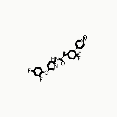 O=C(Nc1ccc(Oc2ccc(F)cc2F)cn1)[C@@H]1C[C@]12CCC(F)(F)[C@@H](c1cc[n+]([O-])cc1)C2